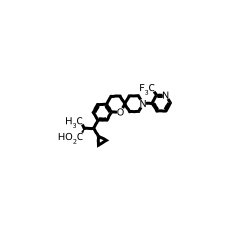 C[C@H](C(=O)O)C(c1ccc2c(c1)OC1(CC2)CCN(c2cccnc2C(F)(F)F)CC1)C1CC1